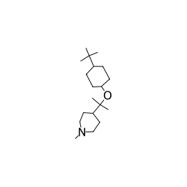 CN1CCC(C(C)(C)OC2CCC(C(C)(C)C)CC2)CC1